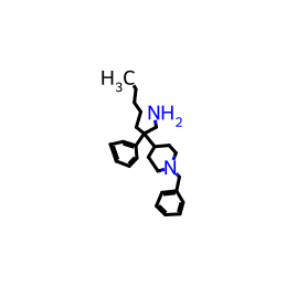 CCCCCC(CN)(c1ccccc1)C1CCN(Cc2ccccc2)CC1